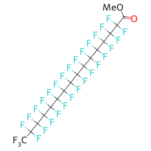 COC(=O)C(F)(F)C(F)(F)C(F)(F)C(F)(F)C(F)(F)C(F)(F)C(F)(F)C(F)(F)C(F)(F)C(F)(F)C(F)(F)C(F)(F)C(F)(F)C(F)(F)C(F)(F)F